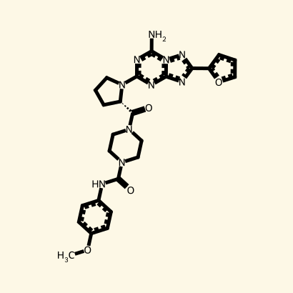 COc1ccc(NC(=O)N2CCN(C(=O)[C@@H]3CCCN3c3nc(N)n4nc(-c5ccco5)nc4n3)CC2)cc1